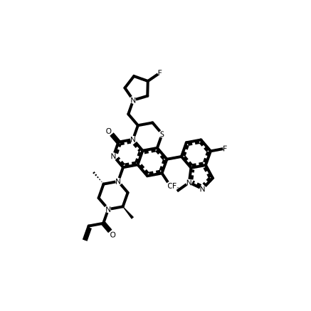 C=CC(=O)N1C[C@H](C)N(c2nc(=O)n3c4c(c(-c5ccc(F)c6cnn(C)c56)c(C(F)(F)F)cc24)SCC3CN2CCC(F)C2)C[C@H]1C